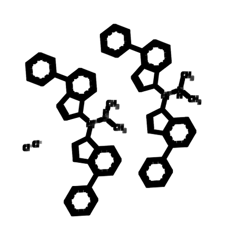 C[SiH](C)[Hf+]([CH]1C=Cc2c(-c3ccccc3)cccc21)[CH]1C=Cc2c(-c3ccccc3)cccc21.C[SiH](C)[Hf+]([CH]1C=Cc2c(-c3ccccc3)cccc21)[CH]1C=Cc2c(-c3ccccc3)cccc21.[Cl-].[Cl-]